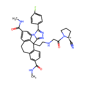 CNC(=O)c1ccc2c(c1)CCc1cc(C(=O)NC)ccc1C2(CCNCC(=O)N1CCC[C@H]1C#N)c1nnc(-c2ccc(F)cc2)[nH]1